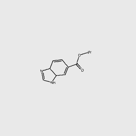 CC(C)OC(=O)C1=CC2NC=NC2C=C1